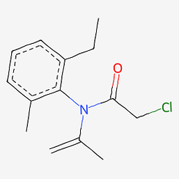 C=C(C)N(C(=O)CCl)c1c(C)cccc1CC